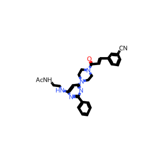 CC(=O)NCCNc1cc(N2CCN(C(=O)/C=C/c3cccc(C#N)c3)CC2)nc(-c2ccccc2)n1